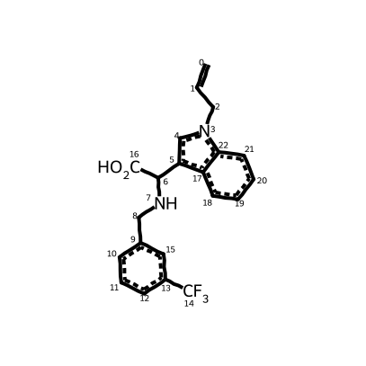 C=CCn1cc(C(NCc2cccc(C(F)(F)F)c2)C(=O)O)c2ccccc21